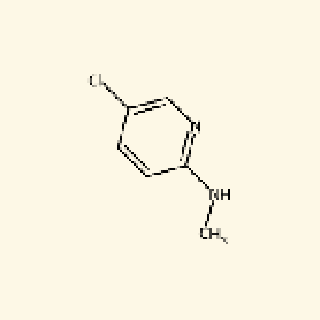 CNc1ccc(Cl)cn1